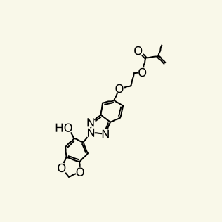 C=C(C)C(=O)OCCOc1ccc2nn(-c3cc4c(cc3O)OCO4)nc2c1